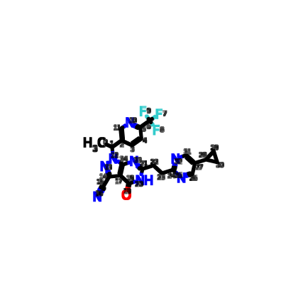 CC(c1ccc(C(F)(F)F)nc1)n1nc(C#N)c2c(=O)[nH]c(CCc3ncc(C4CC4)cn3)nc21